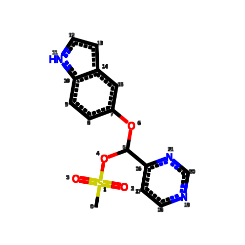 CS(=O)(=O)OC(Oc1ccc2[nH]ccc2c1)c1ccncn1